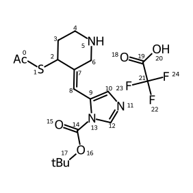 CC(=O)SC1CCNC/C1=C\c1cncn1C(=O)OC(C)(C)C.O=C(O)C(F)(F)F